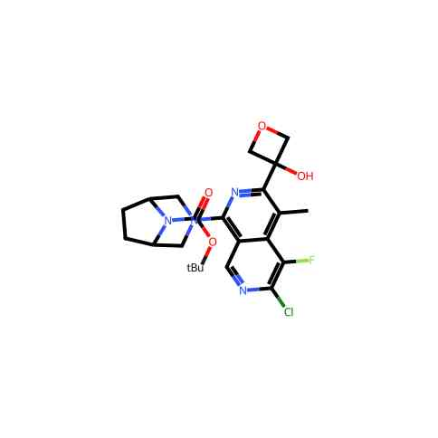 Cc1c(C2(O)COC2)nc(N2CC3CCC(C2)N3C(=O)OC(C)(C)C)c2cnc(Cl)c(F)c12